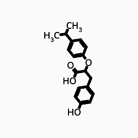 CC(C)c1ccc(OC(Cc2ccc(O)cc2)C(=O)O)cc1